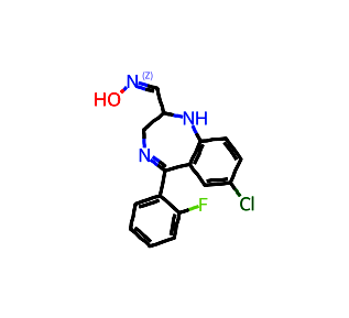 O/N=C\C1CN=C(c2ccccc2F)c2cc(Cl)ccc2N1